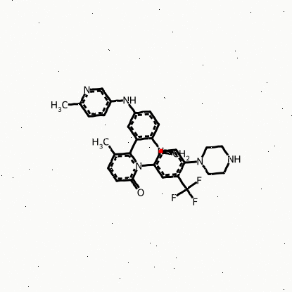 C=Nc1ccc(Nc2ccc(C)nc2)cc1-c1c(C)ccc(=O)n1-c1ccc(N2CCNCC2)c(C(F)(F)F)c1